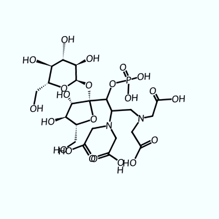 O=C(O)CN(CC(=O)O)CC(C(OP(=O)(O)O)[C@@]1(O[C@H]2O[C@H](CO)[C@@H](O)[C@H](O)[C@H]2O)O[C@H](CO)[C@@H](O)[C@@H]1O)N(CC(=O)O)CC(=O)O